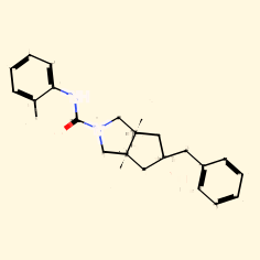 O=C(Nc1ccccc1C(F)(F)F)N1C[C@@H]2C[C@@](O)(Cc3ccccc3)C[C@@H]2C1